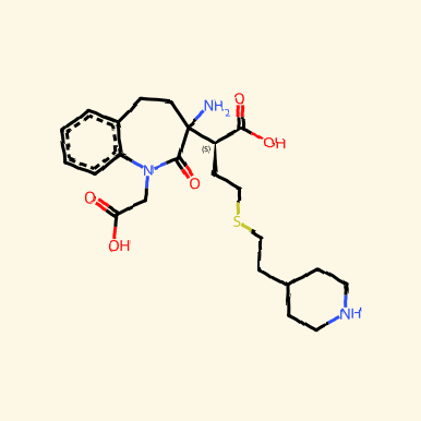 NC1([C@H](CCSCCC2CCNCC2)C(=O)O)CCc2ccccc2N(CC(=O)O)C1=O